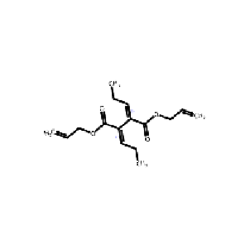 C=CCOC(=O)C(=C/CC)/C(=C\CC)C(=O)OCC=C